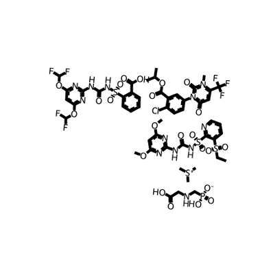 CC(C)OC(=O)c1cc(-n2c(=O)cc(C(F)(F)F)n(C)c2=O)ccc1Cl.CCS(=O)(=O)c1cccnc1S(=O)(=O)NC(=O)Nc1nc(OC)cc(OC)n1.C[S+](C)C.O=C(Nc1nc(OC(F)F)cc(OC(F)F)n1)NS(=O)(=O)c1ccccc1C(=O)O.O=C(O)CNCP(=O)([O-])O